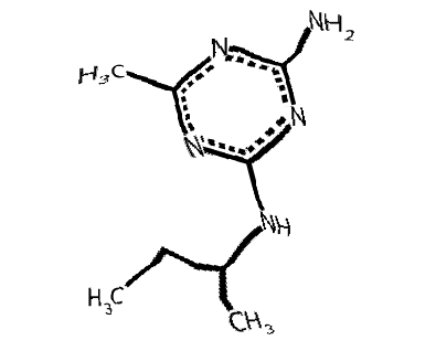 CCC(C)Nc1nc(C)nc(N)n1